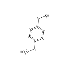 O=S(=O)(O)Cc1ccc(CS)cc1